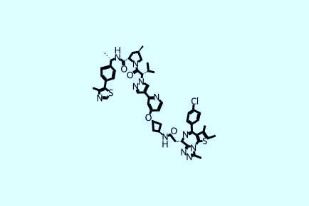 Cc1ncsc1-c1ccc([C@H](C)NC(=O)[C@@H]2C[C@@H](C)CN2C(=O)[C@H](C(C)C)n2cc(-c3cc(O[C@H]4C[C@H](NC(=O)C[C@@H]5N=C(c6ccc(Cl)cc6)c6c(sc(C)c6C)-n6c(C)nnc65)C4)ccn3)cn2)cc1